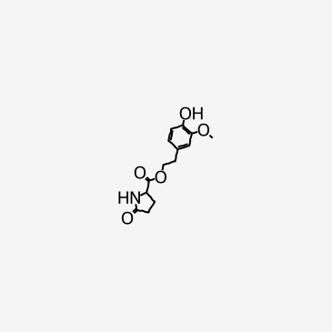 COc1cc(CCOC(=O)C2CCC(=O)N2)ccc1O